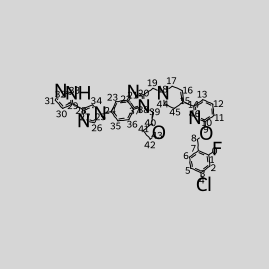 Fc1cc(Cl)ccc1COc1cccc(C2=CCN(Cc3nc4cc(-n5cnc(-c6ccn[nH]6)c5)ccc4n3C[C@@H]3CCO3)CC2)n1